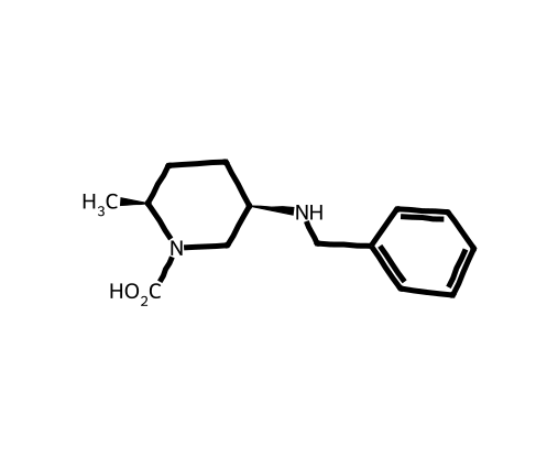 C[C@H]1CC[C@@H](NCc2ccccc2)CN1C(=O)O